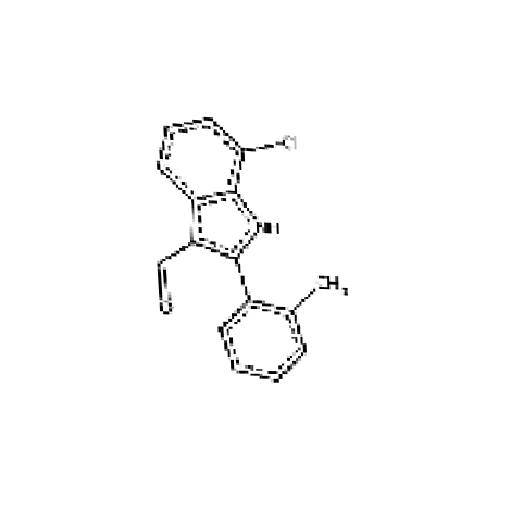 Cc1ccccc1-c1[nH]c2c(Cl)cccc2c1C=O